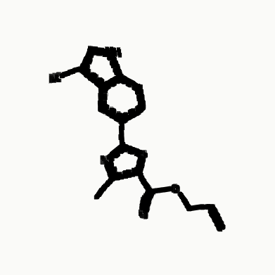 C=CCOC(=O)c1sc(-c2ccc3[nH]cc(C#N)c3c2)nc1C